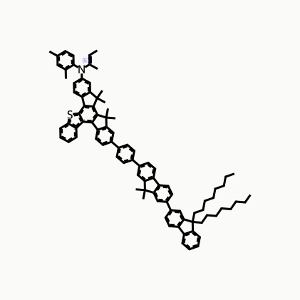 C/C=C(\C)N(c1ccc2c(c1)C(C)(C)c1c3c(c4c(sc5ccccc54)c1-2)-c1ccc(-c2ccc(-c4ccc5c(c4)C(C)(C)c4cc(-c6ccc7c(c6)C(CCCCCCCC)(CCCCCCCC)c6ccccc6-7)ccc4-5)cc2)cc1C3(C)C)c1ccc(C)cc1C